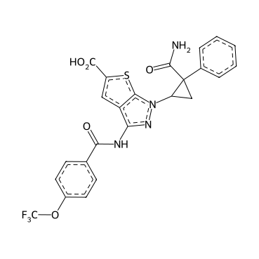 NC(=O)C1(c2ccccc2)CC1n1nc(NC(=O)c2ccc(OC(F)(F)F)cc2)c2cc(C(=O)O)sc21